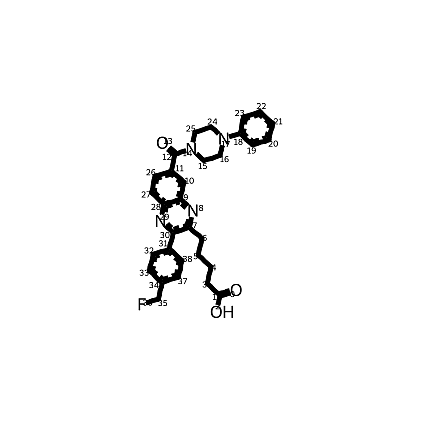 O=C(O)CCCCc1nc2cc(C(=O)N3CCN(c4ccccc4)CC3)ccc2nc1-c1ccc(CF)cc1